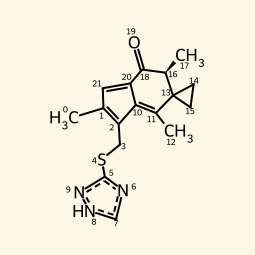 CC1=C(CSc2nc[nH]n2)C2=C(C)C3(CC3)[C@H](C)C(=O)C2=C1